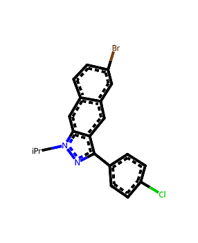 CC(C)n1nc(-c2ccc(Cl)cc2)c2cc3cc(Br)ccc3cc21